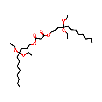 CCCCCCCCC(CCCOC(=O)CC(=O)OCCCC(CCCCCCCC)(OCC)OCC)(OCC)OCC